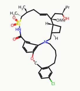 CO[C@]1(C[C@H](O)C(C)C)/C=C/C[C@H](C)[C@@H](C)S(=O)(=O)NC(=O)c2ccc3c(c2)N(CCCCc2cc(Cl)ccc2CO3)C[C@@H]2CC[C@H]21